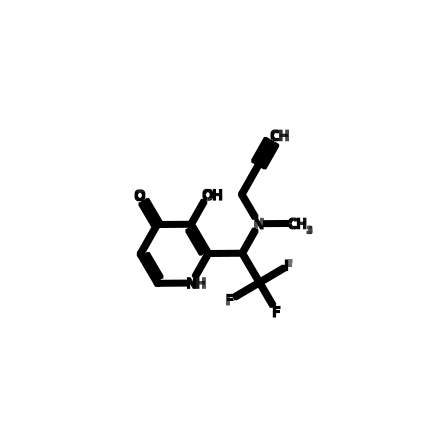 C#CCN(C)C(c1[nH]ccc(=O)c1O)C(F)(F)F